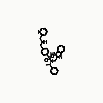 CC(c1ccccc1)N(Cc1nc2ccccc2[nH]1)S(=O)(=O)c1ccc(CNCc2ccccn2)cc1